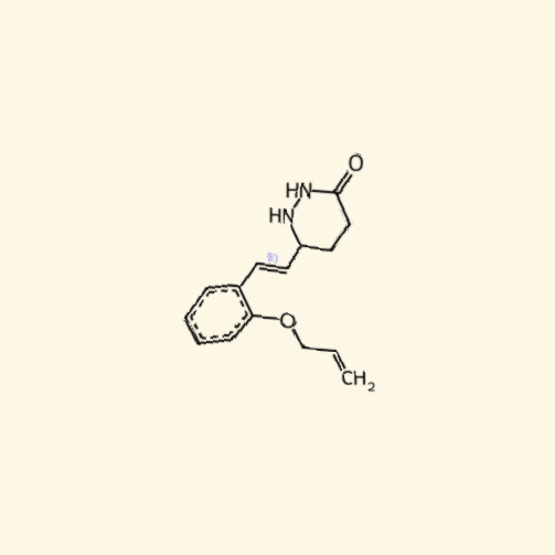 C=CCOc1ccccc1/C=C/C1CCC(=O)NN1